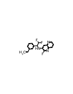 C=Cc1cccc(C(Nc2cc3ncccc3nc2F)C(F)F)c1